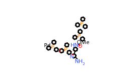 COC(=O)Nc1ccc(-c2cncc(CN)c2)cc1.[Pd].c1ccc(P(c2ccccc2)c2ccccc2)cc1.c1ccc(P(c2ccccc2)c2ccccc2)cc1.c1ccc(P(c2ccccc2)c2ccccc2)cc1.c1ccc(P(c2ccccc2)c2ccccc2)cc1